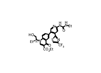 CCNC(=O)Nc1cc(-c2nc(C(F)(F)F)cs2)c(-c2ccc3c(c2)c(=O)c(C(=O)OCC)cn3[C@@H](CC)CO)cn1